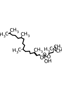 C/C(=C\COP(=O)(O)OCC[N+](C)(C)C)CCC[C@H](C)CCC[C@H](C)CCCC(C)C